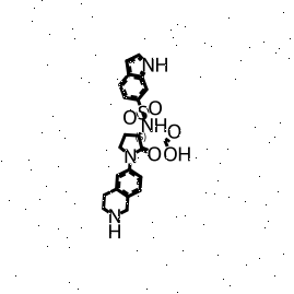 O=C1[C@@H](NS(=O)(=O)c2ccc3cc[nH]c3c2)CCN1c1ccc2c(c1)CCNC2.O=CO